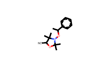 CC(ON1C(C)(C)OC(C#N)C1(C)C)c1ccccc1